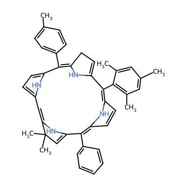 Cc1ccc(C2=C3CC=C(N3)C(c3c(C)cc(C)cc3C)=c3ccc([nH]3)=C(c3ccccc3)C3=CC(C)(C)C(=Cc4ccc2[nH]4)N3)cc1